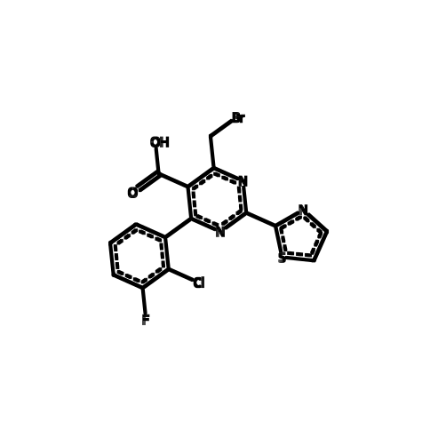 O=C(O)c1c(CBr)nc(-c2nccs2)nc1-c1cccc(F)c1Cl